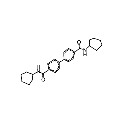 O=C(NC1CCCCC1)c1ccc(-c2ccc(C(=O)NC3CCCCC3)cc2)cc1